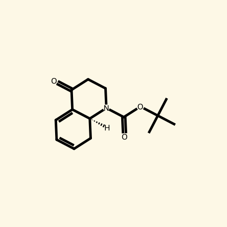 CC(C)(C)OC(=O)N1CCC(=O)C2=CC=CC[C@@H]21